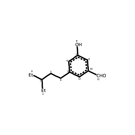 CCC(CC)CCc1cc(O)cc(C=O)c1